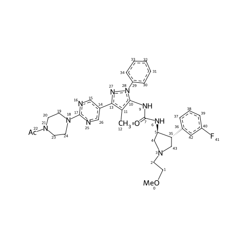 COCCN1C[C@@H](NC(=O)Nc2c(C)c(-c3cnc(N4CCN(C(C)=O)CC4)nc3)nn2-c2ccccc2)[C@H](c2cccc(F)c2)C1